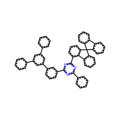 c1ccc(-c2cc(-c3ccccc3)cc(-c3cccc(-c4nc(-c5ccccc5)nc(-c5cccc6c5-c5ccccc5C65c6ccccc6-c6ccccc65)n4)c3)c2)cc1